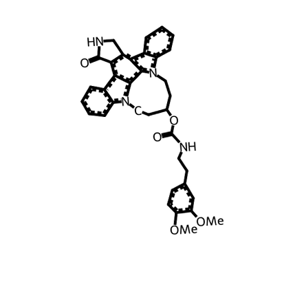 COc1ccc(CCNC(=O)OC2CCn3c4ccccc4c4c5c(c6c7ccccc7n(c6c43)CC2)C(=O)NC5)cc1OC